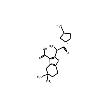 CN(C(=O)[C@H]1CCN(N)C1)c1sc2c(c1C(=O)O)CC(C)(C)CC2